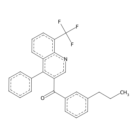 CCCc1cccc(C(=O)c2cnc3c(C(F)(F)F)cccc3c2-c2ccccc2)c1